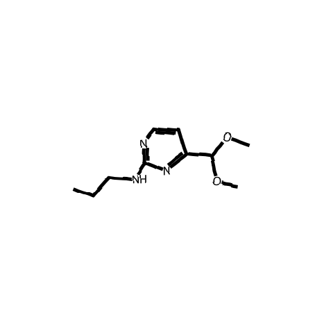 CCCNc1nccc(C(OC)OC)n1